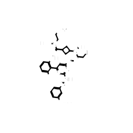 COCCN(C)C(=O)C1CC(N(C)[C@@H](COc2cc(-c3c(C)cccc3C)nc(NS(=O)(=O)c3cccc(C=O)c3)n2)CC(C)C)C1